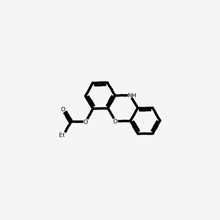 CCC(=O)Oc1cccc2c1Oc1ccccc1N2